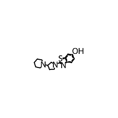 Oc1ccc2nc(N3CCC(N4CCCCC4)C3)sc2c1